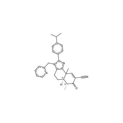 CC(C)c1ccc(-c2nc3c(n2Cc2ccccn2)CC[C@@H]2[C@@H](C)C(=O)C(C#N)=CC32C)cc1